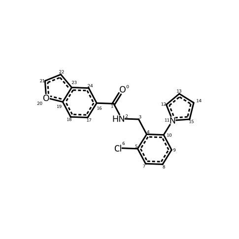 O=C(NCc1c(Cl)cccc1-n1cccc1)c1ccc2occc2c1